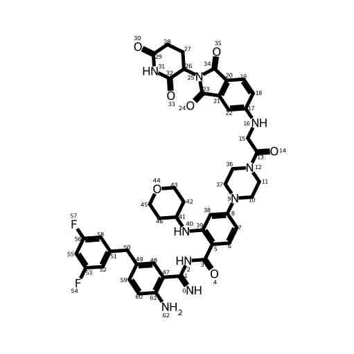 N=C(NC(=O)c1ccc(N2CCN(C(=O)CNc3ccc4c(c3)C(=O)N(C3CCC(=O)NC3=O)C4=O)CC2)cc1NC1CCOCC1)c1cc(Cc2cc(F)cc(F)c2)ccc1N